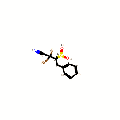 N#CC(Br)(Br)C(Cc1ccccc1)=S(=O)=O